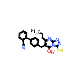 CCCc1nc2nnc(S)n2c(O)c1Cc1ccc(-c2ccccc2C#N)cc1